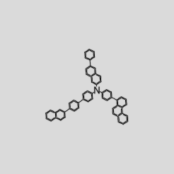 c1ccc(-c2ccc3cc(N(c4ccc(-c5ccc(-c6ccc7ccccc7c6)cc5)cc4)c4ccc(-c5cccc6c5ccc5ccccc56)cc4)ccc3c2)cc1